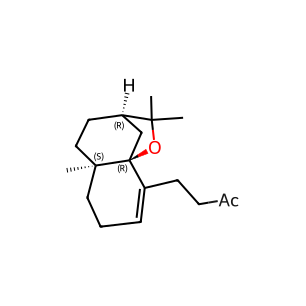 CC(=O)CCC1=CCC[C@@]2(C)CC[C@@H]3C[C@]12OC3(C)C